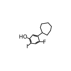 Oc1cc(C2CCCCCC2)c(F)cc1I